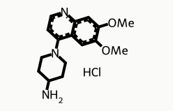 COc1cc2nccc(N3CCC(N)CC3)c2cc1OC.Cl